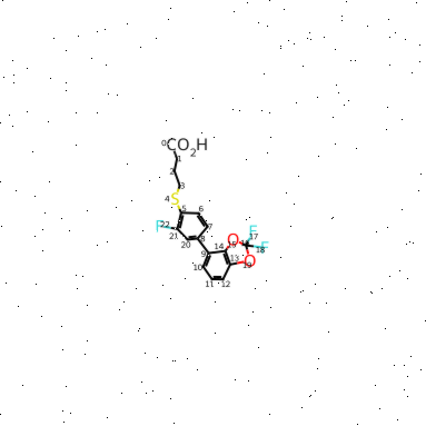 O=C(O)CCCSc1ccc(-c2cccc3c2OC(F)(F)O3)cc1F